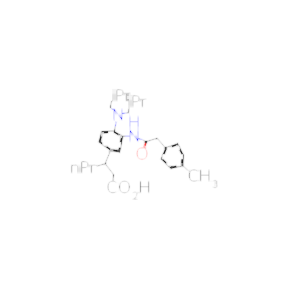 CCCC(CC(=O)O)c1ccc(N(CC(C)C)CC(C)C)c(NC(=O)Cc2ccc(C)cc2)c1